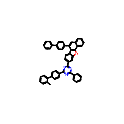 Cc1ccccc1-c1ccc(-c2nc(-c3ccccc3)nc(-c3ccc4c(c3)oc3c5ccccc5cc(-c5ccc(-c6ccccc6)cc5)c43)n2)cc1